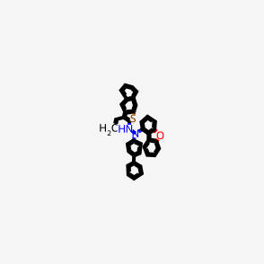 C=Cc1c(NN(c2ccc(-c3ccccc3)cc2)c2cccc3oc4ccccc4c23)sc2cc3ccccc3cc12